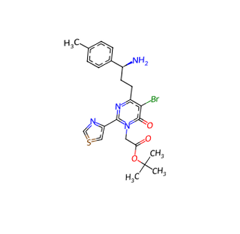 Cc1ccc([C@@H](N)CCc2nc(-c3cscn3)n(CC(=O)OC(C)(C)C)c(=O)c2Br)cc1